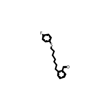 O=Cc1ccccc1CCCCCCCSc1ccc(F)cc1